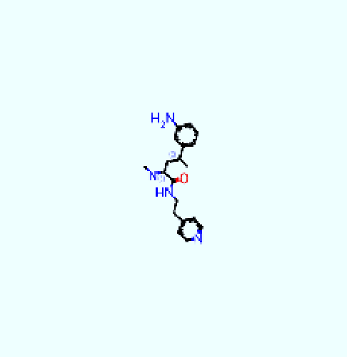 C/N=C(\C=C(/C)c1cccc(N)c1)C(=O)NCCc1ccncc1